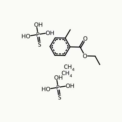 C.C.CCOC(=O)c1ccccc1C.OP(O)(O)=S.OP(O)(O)=S